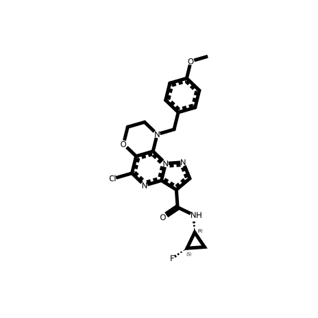 COc1ccc(CN2CCOc3c(Cl)nc4c(C(=O)N[C@@H]5C[C@@H]5F)cnn4c32)cc1